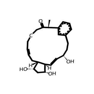 C[C@@H]1C(=O)CCC/C=C\C[C@@H]2[C@@H](/C=C/[C@@H](O)CCc3cccc1c3)[C@H](O)C[C@@H]2O